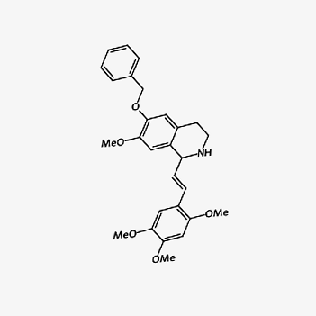 COc1cc(OC)c(OC)cc1C=CC1NCCc2cc(OCc3ccccc3)c(OC)cc21